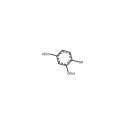 CCCCCCCCc1ccc(S)c(CCCCCCCC)c1